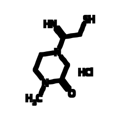 CN1CCN(C(=N)CS)CC1=O.Cl